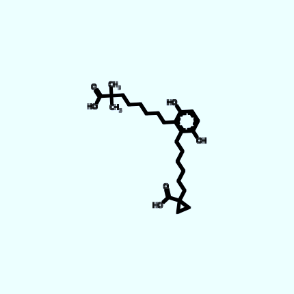 CC(C)(CCCCCCc1c(O)ccc(O)c1CCCCCCC1(C(=O)O)CC1)C(=O)O